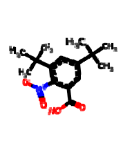 CC(C)(C)c1cc(C(=O)O)c([N+](=O)[O-])c(C(C)(C)C)c1